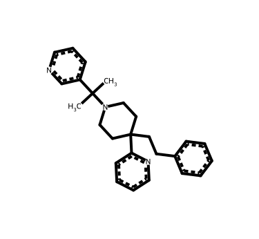 CC(C)(c1cccnc1)N1CCC(CCc2ccccc2)(c2ccccn2)CC1